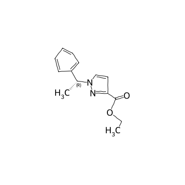 CCOC(=O)c1ccn([C@H](C)c2ccccc2)n1